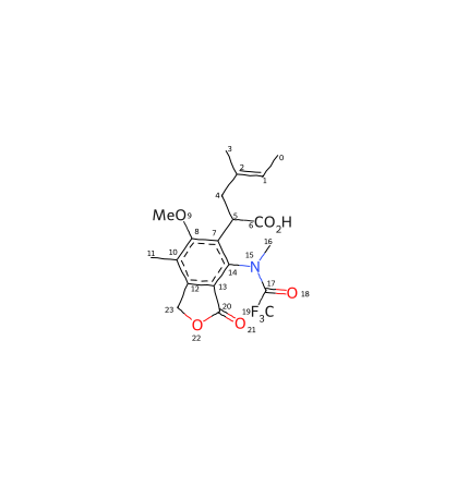 CC=C(C)CC(C(=O)O)c1c(OC)c(C)c2c(c1N(C)C(=O)C(F)(F)F)C(=O)OC2